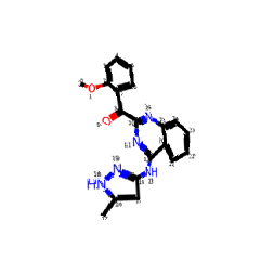 COc1ccccc1C(=O)c1nc(Nc2cc(C)[nH]n2)c2ccccc2n1